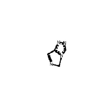 C1=NCn2cnnc21